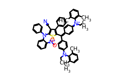 CCN(c1ccc(C(=C2C=CC(=[N+](CC)c3c(C)cccc3C)C=C2)c2sc(N(c3ccccc3)c3ccccc3[N+](=O)[O-])c(C#N)c2-c2ccccc2)cc1)c1c(C)cccc1C